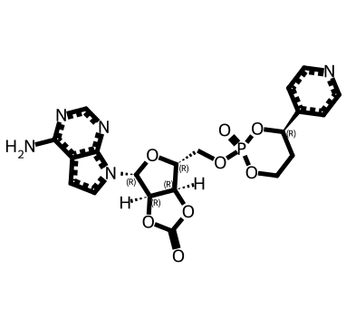 Nc1ncnc2c1ccn2[C@@H]1O[C@H](COP2(=O)OCC[C@H](c3ccncc3)O2)[C@H]2OC(=O)O[C@H]21